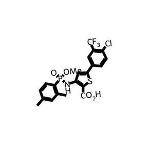 COP(=O)(Nc1cc(-c2ccc(Cl)c(C(F)(F)F)c2)sc1C(=O)O)c1ccc(C)cc1C